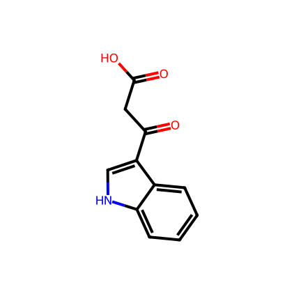 O=C(O)CC(=O)c1c[nH]c2ccccc12